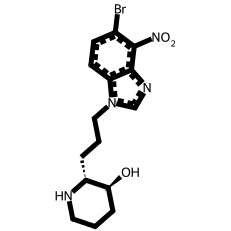 O=[N+]([O-])c1c(Br)ccc2c1ncn2CCC[C@H]1NCCC[C@@H]1O